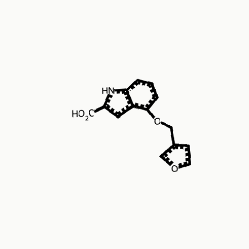 O=C(O)c1cc2c(OCc3ccoc3)cccc2[nH]1